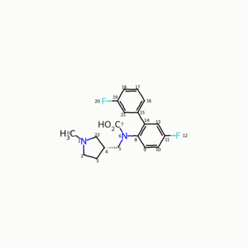 CN1CC[C@@H](CN(C(=O)O)c2ccc(F)cc2-c2cccc(F)c2)C1